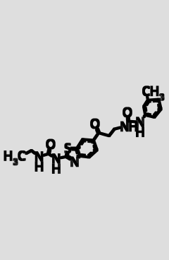 CCNC(=O)Nc1nc2ccc(C(=O)CCNC(=O)Nc3cccc(C)c3)cc2s1